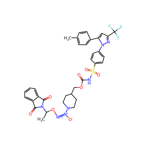 Cc1ccc(-c2cc(C(F)(F)F)nn2-c2ccc(S(=O)(=O)NC(=O)OCC3CCN(/[N+]([O-])=N\OC(C)N4C(=O)c5ccccc5C4=O)CC3)cc2)cc1